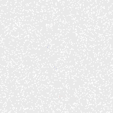 O=C(O)c1cc(C2CCN([C@@H]3CC[C@@](C(=O)NCc4cc(F)cc(OC(F)(F)F)c4)(C4CC4)OC3)CC2)ccc1F